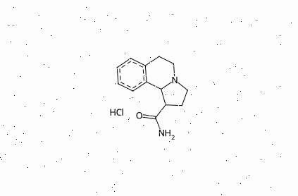 Cl.NC(=O)C1CCN2CCc3cc[c]cc3C12